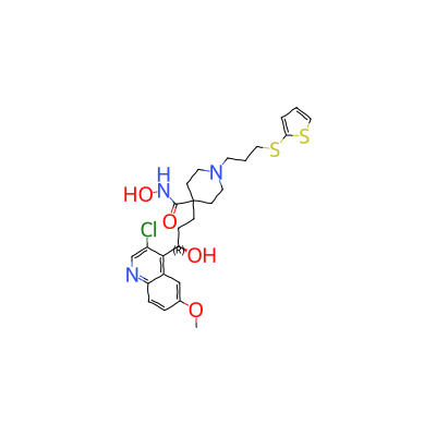 COc1ccc2ncc(Cl)c([C@H](O)CCC3(C(=O)NO)CCN(CCCSc4cccs4)CC3)c2c1